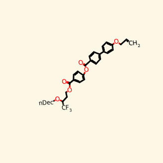 C=CCOc1ccc(-c2ccc(C(=O)Oc3ccc(C(=O)OCCC(OCCCCCCCCCC)C(F)(F)F)cc3)cc2)cc1